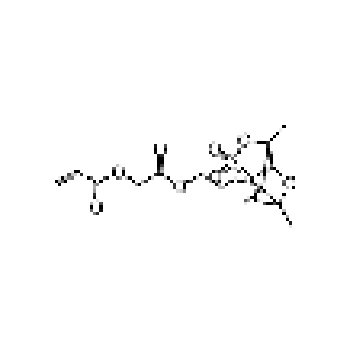 C=CC(=O)OCC(=O)OCCOC1(C)C2(C)CC3C(O2)C1(C)OS3(=O)=O